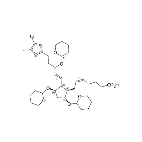 Cc1sc(CCC(/C=C/[C@@H]2[C@@H](C/C=C\CCCC(=O)O)[C@@H](OC3CCCCO3)C[C@H]2OC2CCCCO2)O[C@H]2CCCCO2)cc1Cl